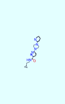 O=C(NCCC1CC1)c1ccc(N2CCN(c3ccccn3)CC2)nn1